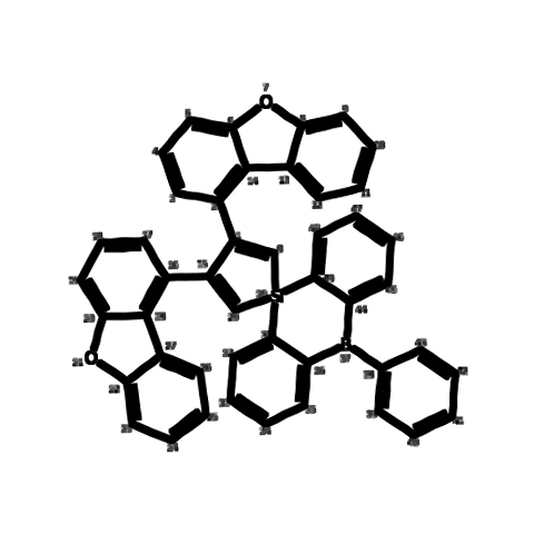 C1=C(c2cccc3oc4ccccc4c23)C(c2cccc3oc4ccccc4c23)=C[Si]12c1ccccc1B(c1ccccc1)c1ccccc12